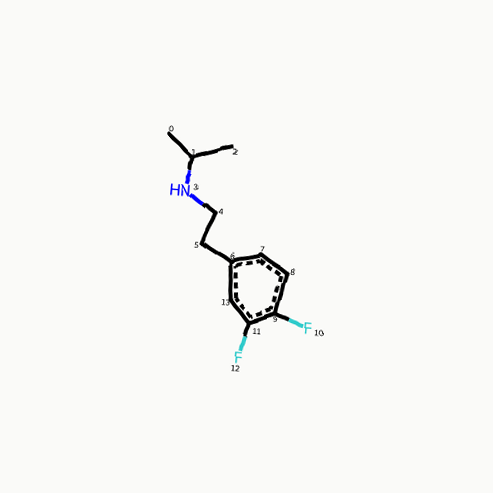 CC(C)NCCc1ccc(F)c(F)c1